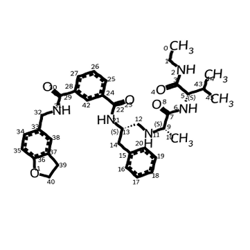 CCNC(=O)[C@@H](NC(=O)[C@H](C)NC[C@H](Cc1ccccc1)NC(=O)c1cccc(C(=O)NCc2ccc3c(c2)CCO3)c1)C(C)C